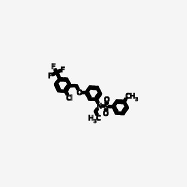 CCN(c1cccc(OCc2cc(C(F)(F)F)ccc2Cl)c1)S(=O)(=O)c1cccc(C)c1